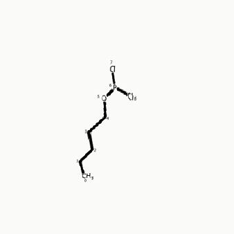 CCCCCOP(Cl)Cl